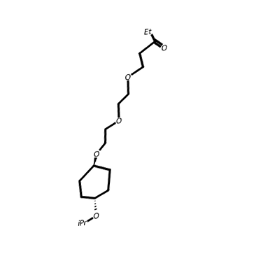 CCC(=O)CCOCCOCCO[C@H]1CC[C@H](OC(C)C)CC1